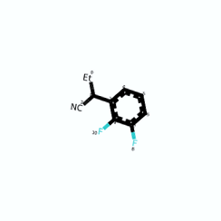 CCC(C#N)c1cccc(F)c1F